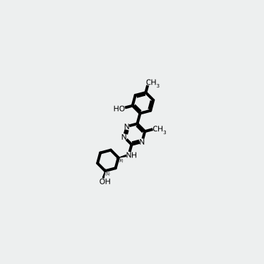 Cc1ccc(-c2nnc(N[C@@H]3CCC[C@H](O)C3)nc2C)c(O)c1